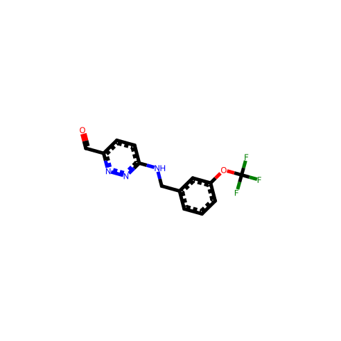 O=Cc1ccc(NCc2cccc(OC(F)(F)F)c2)nn1